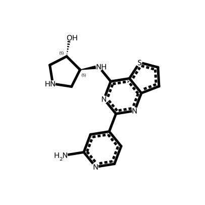 Nc1cc(-c2nc(N[C@H]3CNC[C@@H]3O)c3sccc3n2)ccn1